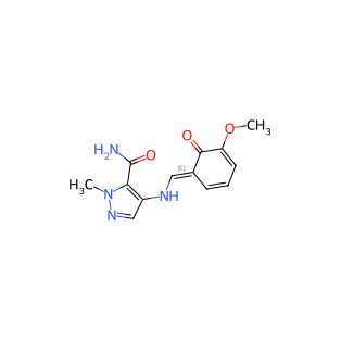 COC1=CC=C/C(=C\Nc2cnn(C)c2C(N)=O)C1=O